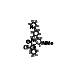 CNC1CCC(N(Cc2cccc(-c3ccccn3)c2)C(=O)c2sc3ccccc3c2Cl)CC1